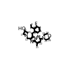 CCc1c(F)cccc1Cc1c(CN2CC(O)C2)nc2c(C)cc(N3CCOCC3)nn12